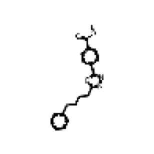 COC(=O)c1ccc(-c2nnc(CCCCc3ccccc3)o2)cc1